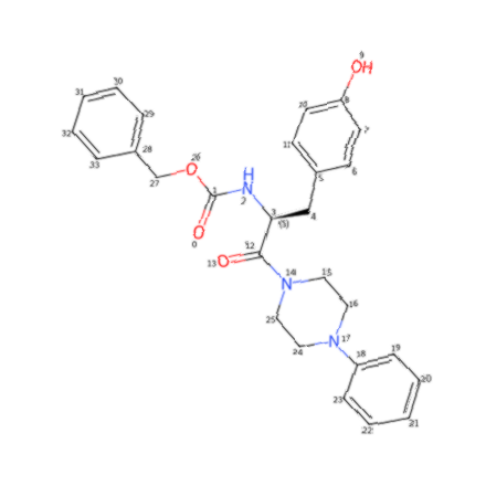 O=C(N[C@@H](Cc1ccc(O)cc1)C(=O)N1CCN(c2ccccc2)CC1)OCc1ccccc1